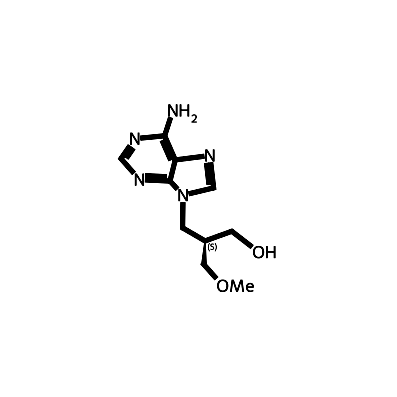 COC[C@H](CO)Cn1cnc2c(N)ncnc21